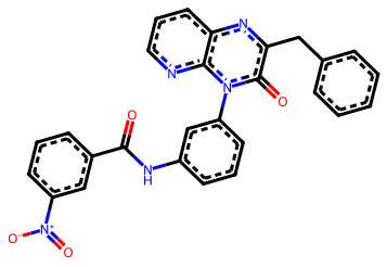 O=C(Nc1cccc(-n2c(=O)c(Cc3ccccc3)nc3cccnc32)c1)c1cccc([N+](=O)[O-])c1